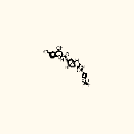 O=C(N[C@@H]1C[C@@H]2O[C@H]1C[C@H]2c1nnc([C@H]2C[C@@H](OC(F)(F)F)C2)o1)[C@@H]1C[C@H](O)c2cc(Cl)ccc2O1